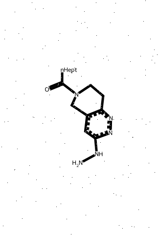 CCCCCCCC(=O)N1CCc2nnc(NN)cc2C1